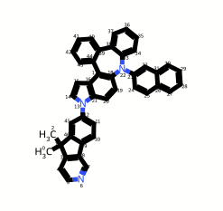 CC1(C)c2ccncc2-c2ccc(-n3ccc4c5c(ccc43)N(c3ccc4ccccc4c3)c3ccccc3-c3ccccc3-5)cc21